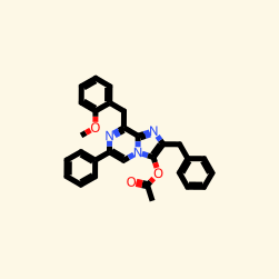 COc1ccccc1Cc1nc(-c2ccccc2)cn2c(OC(C)=O)c(Cc3ccccc3)nc12